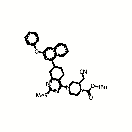 CSc1nc2c(c(N3CCN(C(=O)OC(C)(C)C)C(CC#N)C3)n1)CCC(c1cc(Oc3ccccc3)cc3ccccc13)C2